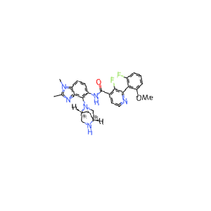 COc1cccc(F)c1-c1nccc(C(=O)Nc2ccc3c(nc(C)n3C)c2N2C[C@H]3C[C@@H]2CN3)c1F